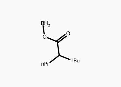 BOC(=O)C(CCC)CCCC